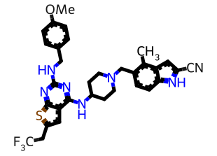 COc1ccc(CNc2nc(NC3CCN(Cc4ccc5[nH]c(C#N)cc5c4C)CC3)c3cc(CC(F)(F)F)sc3n2)cc1